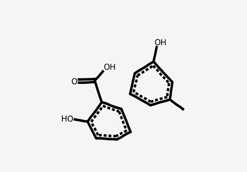 Cc1cccc(O)c1.O=C(O)c1ccccc1O